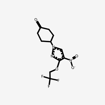 O=C1CCC(n2cc([N+](=O)[O-])c(OCC(F)(F)F)n2)CC1